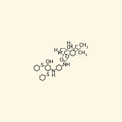 CCC(C)(C)c1ccc(OCC(=O)Nc2ccc(Nc3cc(O)c(Sc4ccccc4)cc3Sc3ccccc3)cc2)c(C(C)(C)CC)c1